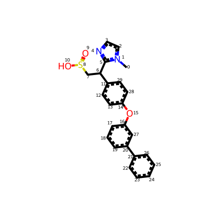 Cn1ccnc1C(CS(=O)O)c1ccc(Oc2cccc(-c3ccccc3)c2)cc1